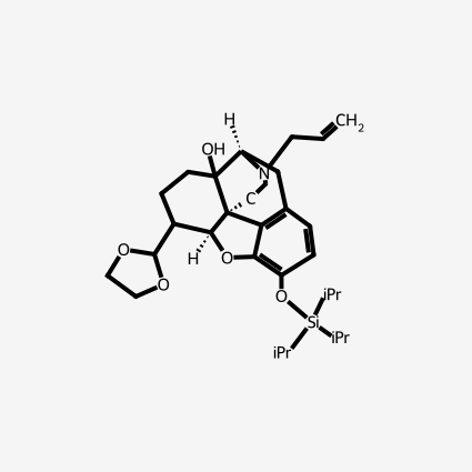 C=CCN1CC[C@]23c4c5ccc(O[Si](C(C)C)(C(C)C)C(C)C)c4O[C@H]2C(C2OCCO2)CCC3(O)[C@H]1C5